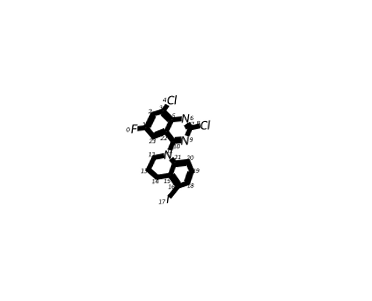 Fc1cc(Cl)c2nc(Cl)nc(N3CCCc4c(I)cccc43)c2c1